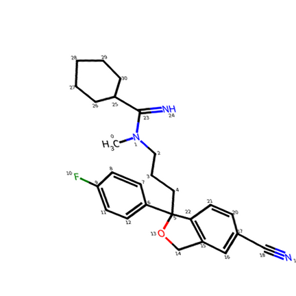 CN(CCCC1(c2ccc(F)cc2)OCc2cc(C#N)ccc21)C(=N)C1CCCCC1